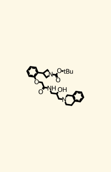 CC(C)(C)OC(=O)N1CC(c2ccccc2OCC(=O)NCC(O)CN2CCc3ccccc3C2)C1